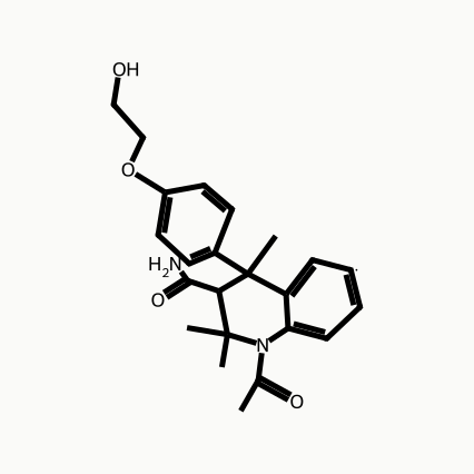 CC(=O)N1c2cc[c]cc2C(C)(c2ccc(OCCO)cc2)C(C(N)=O)C1(C)C